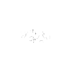 O=C(O)c1cnn(-c2ccc(Cl)c(Cl)c2)c1C(F)(F)F